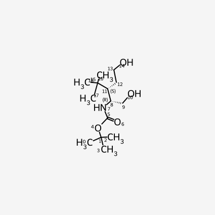 CC(C)(C)OC(=O)N[C@@H](CO)[C@@H](CCO)C(C)(C)C